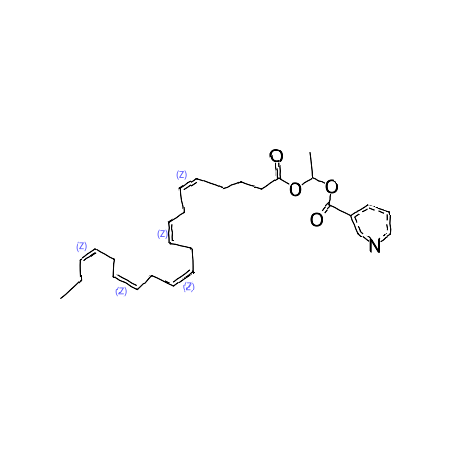 CC/C=C\C/C=C\C/C=C\C/C=C\C/C=C\CCCC(=O)OC(C)OC(=O)c1cccnc1